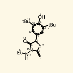 C=C1SC(c2cc(C(C)(C)C)c(O)c(C(C)(C)C)c2)C(=O)N1NCC